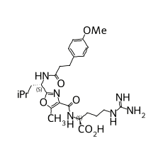 COc1ccc(CCC(=O)N[C@@H](CC(C)C)c2nc(C(=O)N[C@@H](CCCNC(=N)N)C(=O)O)c(C)o2)cc1